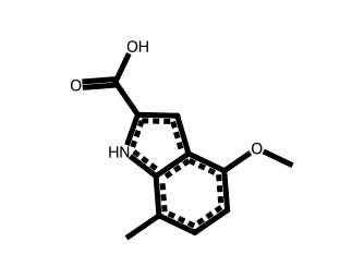 COc1ccc(C)c2[nH]c(C(=O)O)cc12